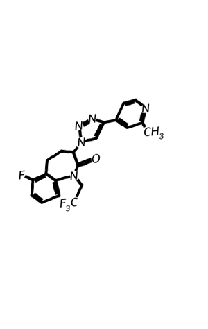 Cc1cc(-c2cn(C3CCc4c(F)cccc4N(CC(F)(F)F)C3=O)nn2)ccn1